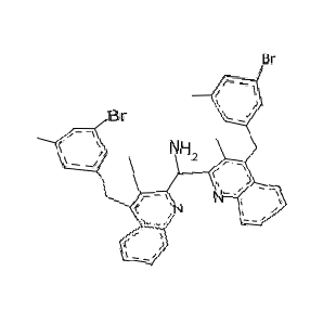 Cc1cc(Br)cc(Cc2c(C)c(C(N)c3nc4ccccc4c(Cc4cc(C)cc(Br)c4)c3C)nc3ccccc23)c1